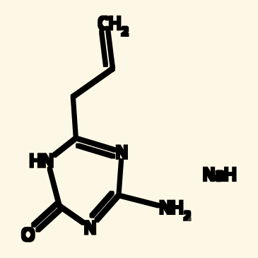 C=CCc1nc(N)nc(=O)[nH]1.[NaH]